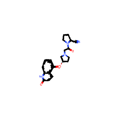 N#CC1CCCN1C(=O)CN1CC[C@H](Oc2cccc3[nH]c(=O)ccc23)C1